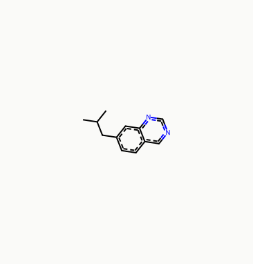 CC(C)Cc1ccc2cncnc2c1